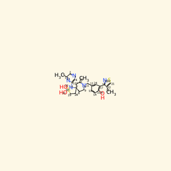 Cc1cncc(N2[C@@]3(CCN(Cc4ccc(O)c(-c5nscc5C)c4)[C@@H](C)C3)CCS2(O)O)n1